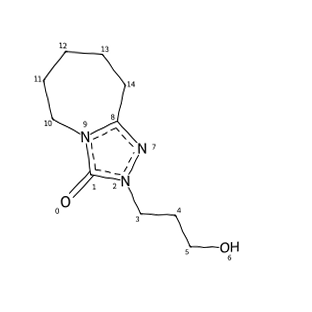 O=c1n(CCCO)nc2n1CCCCC2